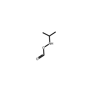 CC(C)NOC=O